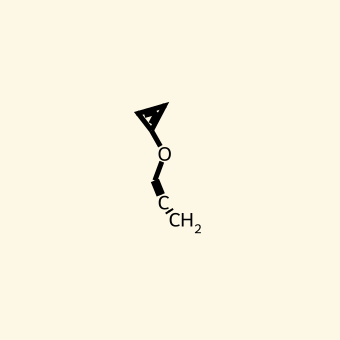 C=C=COC1=C=C1